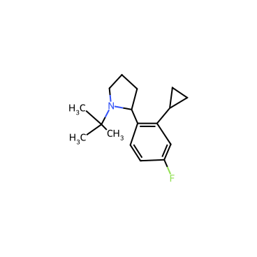 CC(C)(C)N1CCCC1c1ccc(F)cc1C1CC1